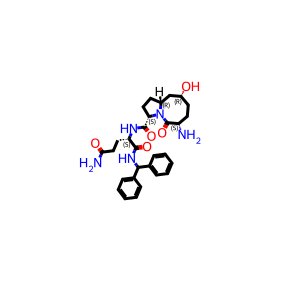 NC(=O)CC[C@H](NC(=O)[C@@H]1CC[C@@H]2C[C@H](O)CC[C@H](N)C(=O)N21)C(=O)NC(c1ccccc1)c1ccccc1